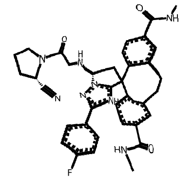 CNC(=O)c1ccc2c(c1)CCc1cc(C(=O)NC)ccc1C2(C[C@H](C)NCC(=O)N1CCC[C@H]1C#N)c1nnc(-c2ccc(F)cc2)[nH]1